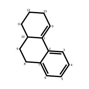 C1=C2c3ccccc3CCC2CCC1